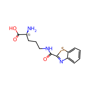 N[C@@H](CCCNC(=O)c1nc2ccccc2s1)C(=O)O